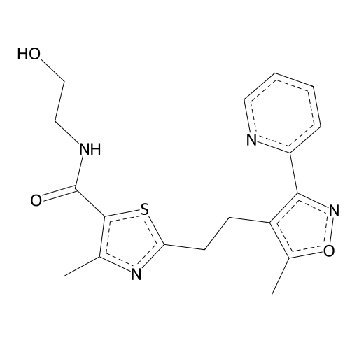 Cc1nc(CCc2c(-c3ccccn3)noc2C)sc1C(=O)NCCO